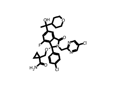 CC(O)(c1cc(F)c2c(c1)C(=O)N(Cc1ncc(Cl)cn1)[C@@]2(OCC1(C(N)=O)CC1)c1ccc(Cl)cc1)C1CCOCC1